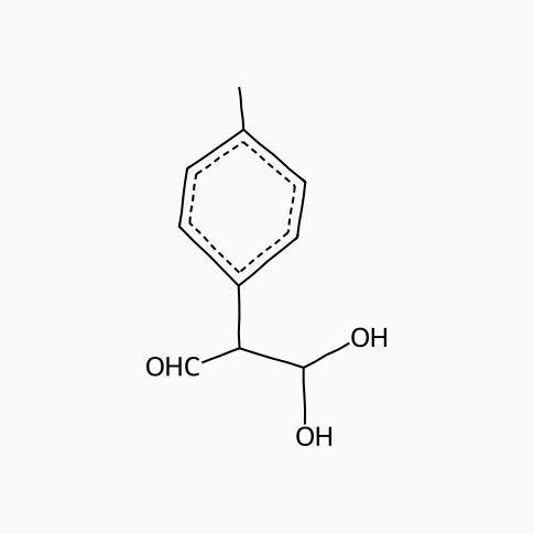 Cc1ccc(C(C=O)C(O)O)cc1